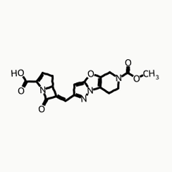 COC(=O)N1CCc2c(oc3cc(/C=C4/C(=O)N5C(C(=O)O)=CCC45)nn23)C1